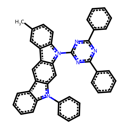 Cc1ccc2c(c1)c1cc3c4ccccc4n(-c4ccccc4)c3cc1n2-c1nc(-c2ccccc2)nc(-c2ccccc2)n1